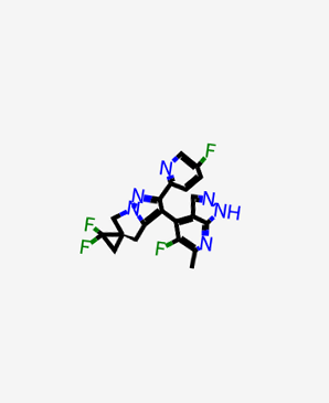 Cc1nc2[nH]ncc2c(-c2c(-c3ccc(F)cn3)nn3c2C[C@@]2(C3)CC2(F)F)c1F